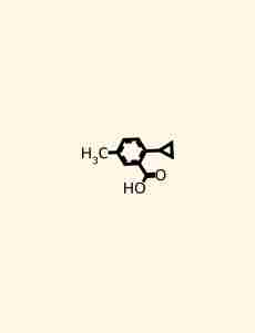 Cc1ccc(C2CC2)c(C(=O)O)c1